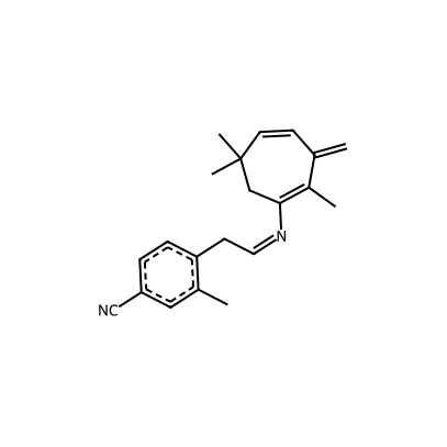 C=C1C=CC(C)(C)CC(/N=C\Cc2ccc(C#N)cc2C)=C1C